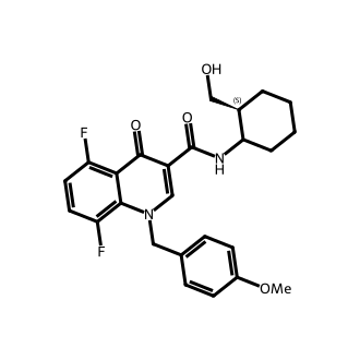 COc1ccc(Cn2cc(C(=O)NC3CCCC[C@@H]3CO)c(=O)c3c(F)ccc(F)c32)cc1